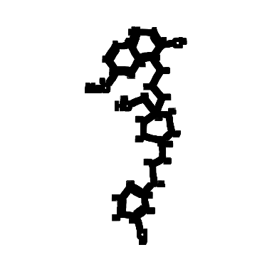 COc1ccc2ncc(Cl)c(CCCC3(CO)CCN(CCSc4cccc(Cl)c4)CC3)c2c1